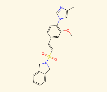 COc1cc(/C=C/S(=O)(=O)N2Cc3ccccc3C2)ccc1-n1cnc(C)c1